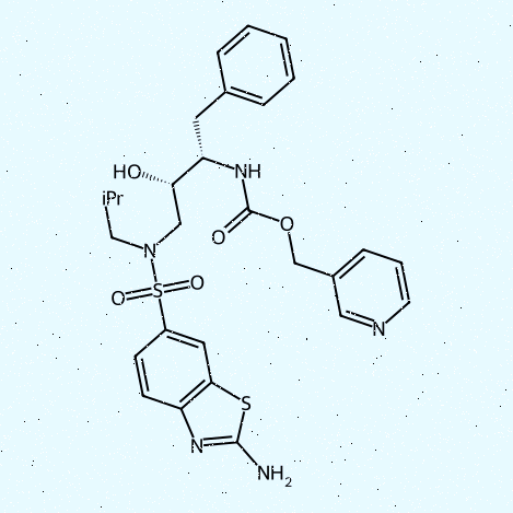 CC(C)CN(C[C@H](O)[C@H](Cc1ccccc1)NC(=O)OCc1cccnc1)S(=O)(=O)c1ccc2nc(N)sc2c1